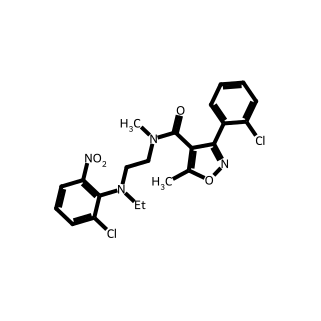 CCN(CCN(C)C(=O)c1c(-c2ccccc2Cl)noc1C)c1c(Cl)cccc1[N+](=O)[O-]